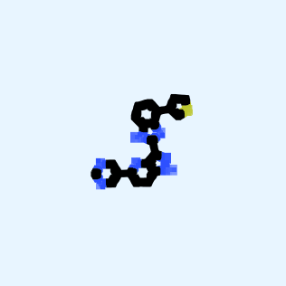 c1cc(-c2ccsc2)c2nc(-c3n[nH]c4ccc(-c5cncnc5)nc34)[nH]c2c1